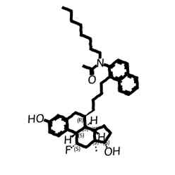 CCCCCCCCN(C(C)=O)c1ccc2ccccc2c1CCCC[C@@H]1Cc2cc(O)ccc2[C@@H]2[C@@H]1[C@@H]1CC[C@H](O)[C@@]1(C)C[C@@H]2F